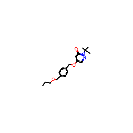 CCCOCc1ccc(COc2cnn(C(C)(C)C)c(=O)c2)cc1